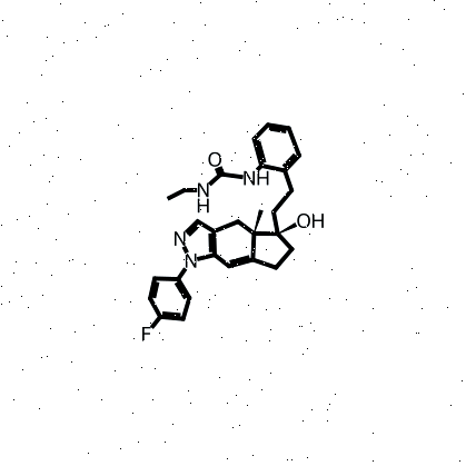 CCNC(=O)Nc1ccccc1CC[C@]1(O)CCC2=Cc3c(cnn3-c3ccc(F)cc3)C[C@@]21C